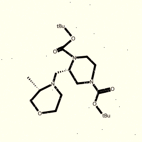 C[C@H]1COCCN1C[C@H]1CN(C(=O)OC(C)(C)C)CCN1C(=O)OC(C)(C)C